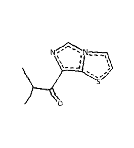 CC(C)C(=O)c1ncn2ccsc12